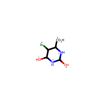 O=C(O)C1NC(O)NC(O)C1Br